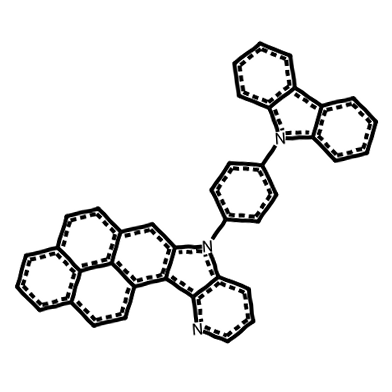 c1cc2ccc3cc4c(c5ccc(c1)c2c35)c1ncccc1n4-c1ccc(-n2c3ccccc3c3ccccc32)cc1